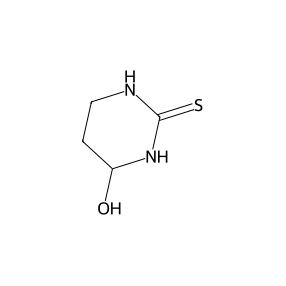 OC1CCNC(=S)N1